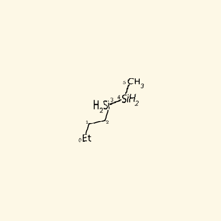 CCCC[SiH2][SiH2]C